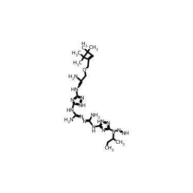 CCC(C)N(N=N)c1n[nH]c(N/C(N)=N/N=C(\N)Nc2nc(N/C=C(\N)COCC3=CC(C)(C)C3(C)C)n[nH]2)n1